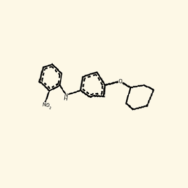 O=[N+]([O-])c1ccccc1Nc1ccc(OC2CCCCC2)cc1